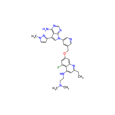 CCc1cc(NCCN(C)C)c2c(F)cc(OCc3cncc(-n4cc(-c5ccn(C)n5)c5c(N)ncnc54)c3)cc2n1